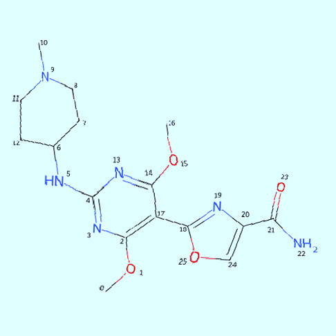 COc1nc(NC2CCN(C)CC2)nc(OC)c1-c1nc(C(N)=O)co1